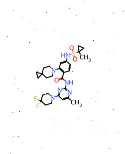 Cc1cc(N2CCC(F)(F)CC2)nc(NC(=O)c2ccc(NS(=O)(=O)C3(C)CC3)cc2N2CCC3(CC2)CC3)n1